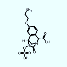 NCCOc1ccc2c(c1)[C@H]1CN(C(=O)N1OS(=O)(=O)O)[C@H]2C(=O)O